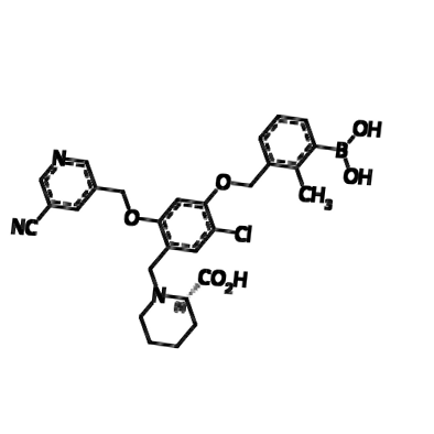 Cc1c(COc2cc(OCc3cncc(C#N)c3)c(CN3CCCC[C@H]3C(=O)O)cc2Cl)cccc1B(O)O